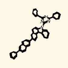 c1ccc(-c2ccc3cc(-c4ccc5c(ccc6c5c5ccccc5n6-c5nc(-c6ccccc6)nc(-c6ccccc6)n5)c4)ccc3c2)cc1